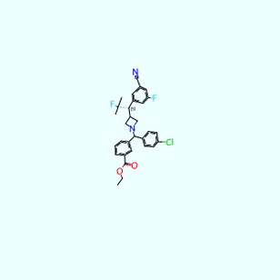 CCOC(=O)c1cccc(C(c2ccc(Cl)cc2)N2CC([C@@H](c3cc(F)cc(C#N)c3)C(C)(C)F)C2)c1